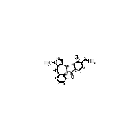 Cn1ncc2c1Nc1ccccc1N(C(=O)c1ccc(CN)c(Cl)c1)C2